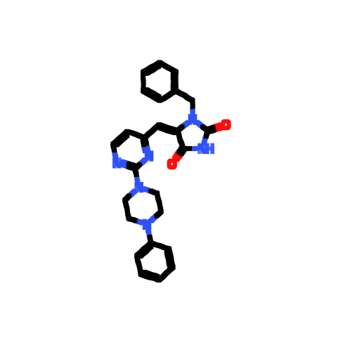 O=C1NC(=O)N(Cc2ccccc2)C1=Cc1ccnc(N2CCN(c3ccccc3)CC2)n1